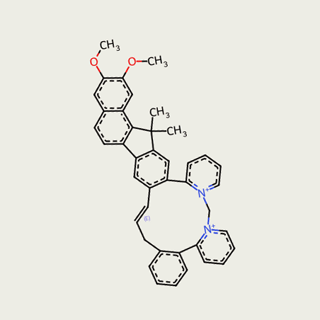 COc1cc2ccc3c(c2cc1OC)C(C)(C)c1cc2c(cc1-3)/C=C/Cc1ccccc1-c1cccc[n+]1C[n+]1ccccc1-2